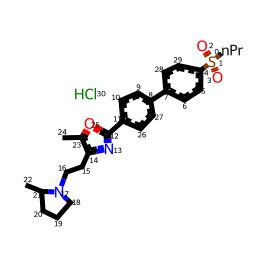 CCCS(=O)(=O)c1ccc(-c2ccc(-c3nc(CCN4CCCC4C)c(C)o3)cc2)cc1.Cl